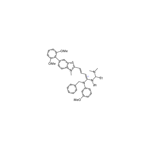 CCC(N(C)C)N(/C(=C/C=Cc1sc2cc(-c3c(OC)cccc3OC)ccc2[n+]1C)N(Cc1ccccc1)c1cccc(OC)c1)C(C)C